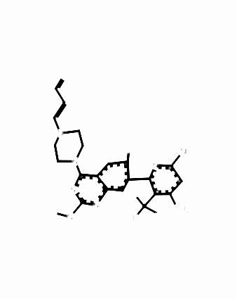 CNc1nc(N2CCN(C=CC=O)CC2)c2cc(Cl)c(-c3nc(N)cc(C)c3C(F)(F)F)cc2n1